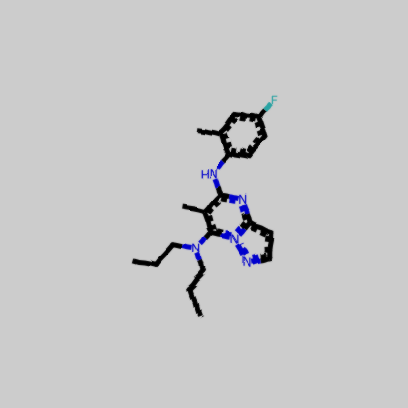 CCCN(CCC)c1c(C)c(Nc2ccc(F)cc2C)nc2ccnn12